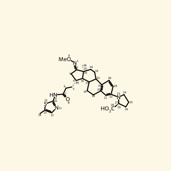 CON=C1C[C@@H](CCC(=O)Nc2ncc(C)s2)C2C3CCc4cc(N5CCC[C@H]5C(=O)O)ccc4C3CC[C@]12C